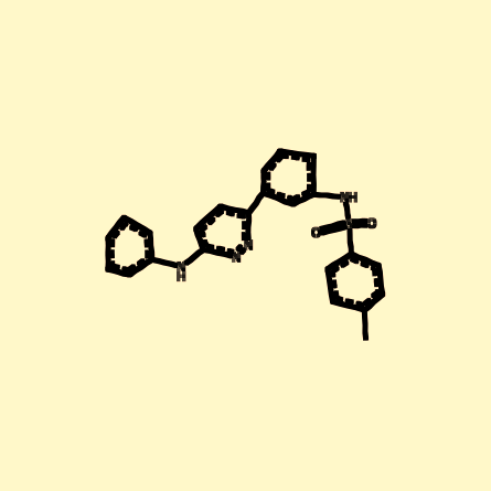 Cc1ccc(S(=O)(=O)Nc2cccc(-c3ccc(Nc4ccccc4)nn3)c2)cc1